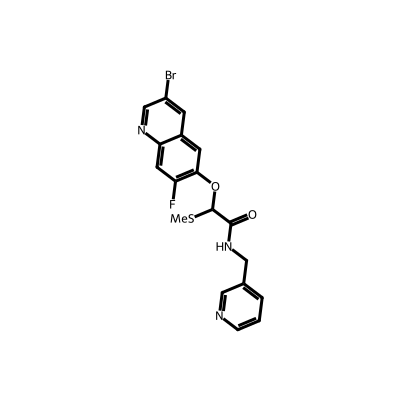 CSC(Oc1cc2cc(Br)cnc2cc1F)C(=O)NCc1cccnc1